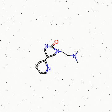 CN(C)CCn1cc(-c2ccccn2)cnc1=O